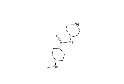 O=C(NC1CCNCC1)[C@H]1CC[C@H](NI)CC1